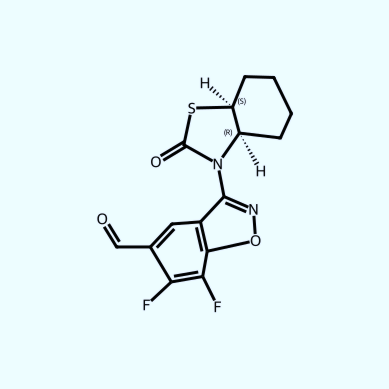 O=Cc1cc2c(N3C(=O)S[C@H]4CCCC[C@H]43)noc2c(F)c1F